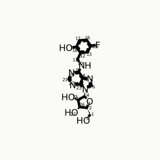 OC[C@H]1O[C@@H](n2cnc3c(NCc4cc(F)ccc4O)ncnc32)[C@H](O)[C@@H]1O